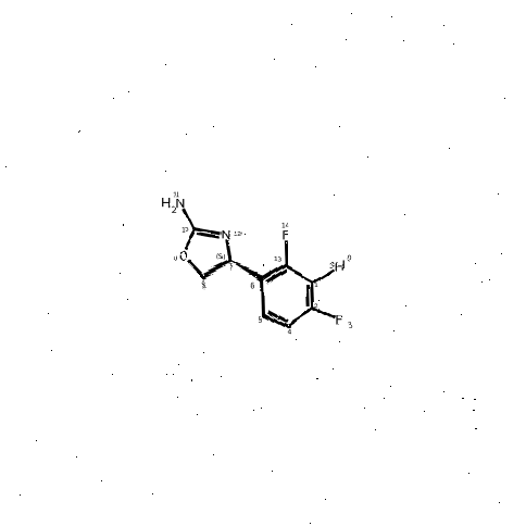 [3H]c1c(F)ccc([C@H]2COC(N)=N2)c1F